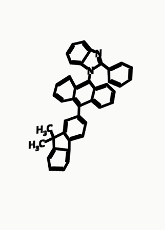 CC1(C)c2ccccc2-c2ccc(-c3c4ccccc4c(-n4c(-c5ccccc5)nc5ccccc54)c4ccccc34)cc21